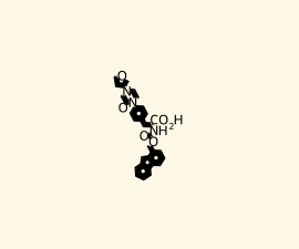 O=C(NC(Cc1ccc(N2CCN(C3CCOC3)CC2=O)cc1)C(=O)O)OCc1cccc2c1Cc1ccccc1-2